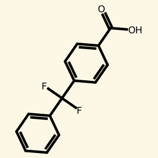 O=C(O)c1ccc(C(F)(F)c2ccccc2)cc1